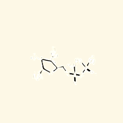 B[C@@H]1O[C@H](COP(N)(=O)OP(=O)(O)O)[C@@H](O)[C@H]1C